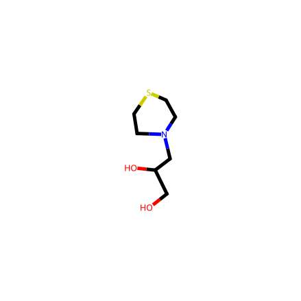 OCC(O)CN1CCSCC1